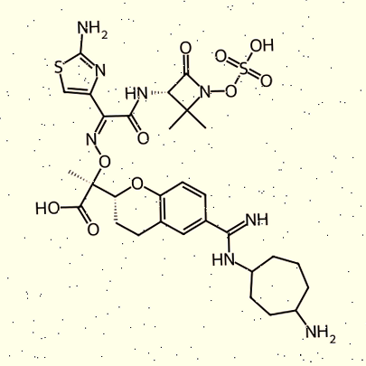 CC1(C)[C@H](NC(=O)/C(=N\O[C@](C)(C(=O)O)[C@H]2CCc3cc(C(=N)NC4CCCC(N)CC4)ccc3O2)c2csc(N)n2)C(=O)N1OS(=O)(=O)O